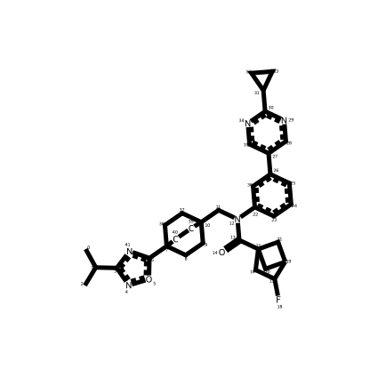 CC(C)c1noc(C23CCC(CN(C(=O)C45CC(F)C(C4)C5)c4cccc(-c5cnc(C6CC6)nc5)c4)(CC2)CC3)n1